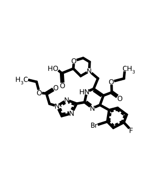 CCOC(=O)Cn1cnc(C2=NC(c3ccc(F)cc3Br)C(C(=O)OCC)=C(CN3CCOC(C(=O)O)C3)N2)n1